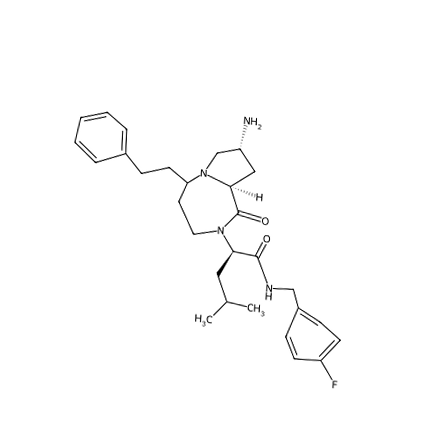 CC(C)C[C@H](C(=O)NCc1ccc(F)cc1)N1CCC(CCc2ccccc2)N2C[C@H](N)C[C@H]2C1=O